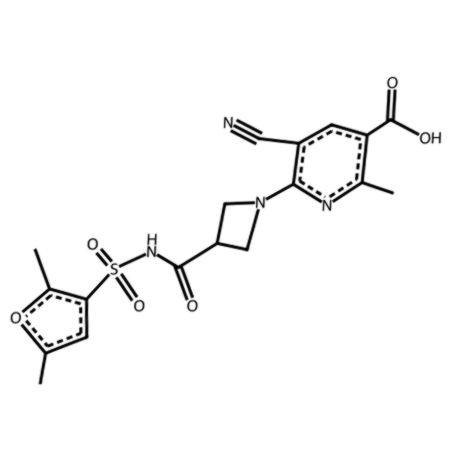 Cc1cc(S(=O)(=O)NC(=O)C2CN(c3nc(C)c(C(=O)O)cc3C#N)C2)c(C)o1